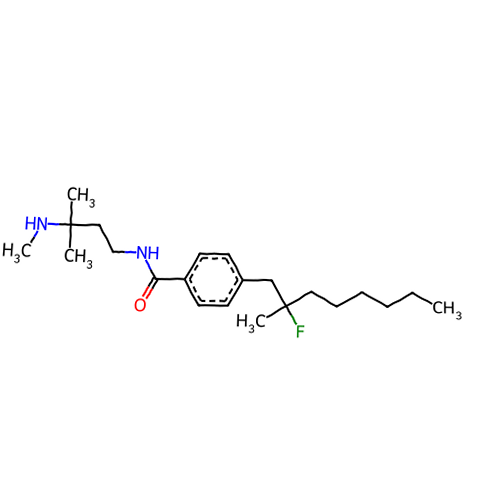 CCCCCCC(C)(F)Cc1ccc(C(=O)NCCC(C)(C)NC)cc1